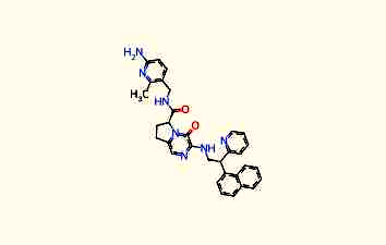 Cc1nc(N)ccc1CNC(=O)[C@@H]1CCc2cnc(NC[C@@H](c3ccccn3)c3cccc4ccccc34)c(=O)n21